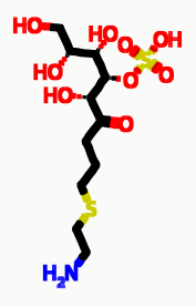 NCCSCCCC(=O)[C@H](O)[C@@H](OS(=O)(=O)O)[C@@H](O)[C@H](O)CO